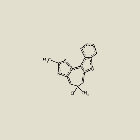 Cc1nc2c(s1)=c1c(oc3ccccc13)=CC(C)(Cl)C=2